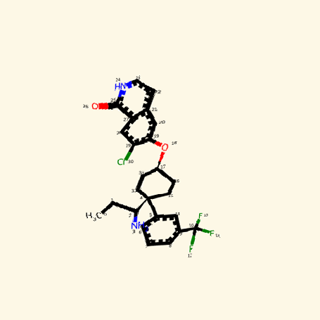 CCC(N)[C@]1(c2cccc(C(F)(F)F)c2)CC[C@H](Oc2cc3cc[nH]c(=O)c3cc2Cl)CC1